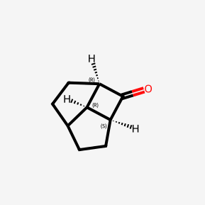 O=C1[C@H]2CCC3CC[C@@H]1[C@H]32